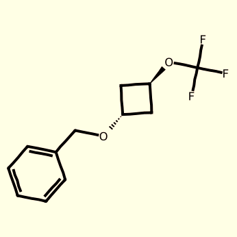 FC(F)(F)O[C@H]1C[C@H](OCc2ccccc2)C1